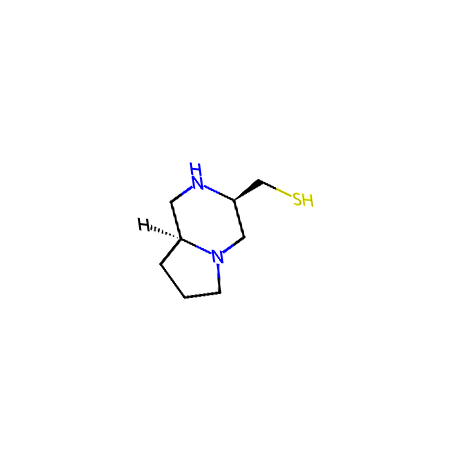 SC[C@H]1CN2CCC[C@H]2CN1